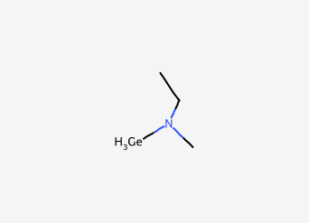 CC[N](C)[GeH3]